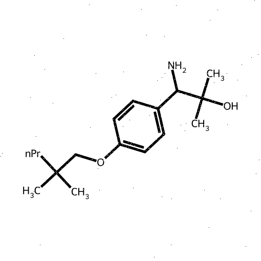 CCCC(C)(C)COc1ccc(C(N)C(C)(C)O)cc1